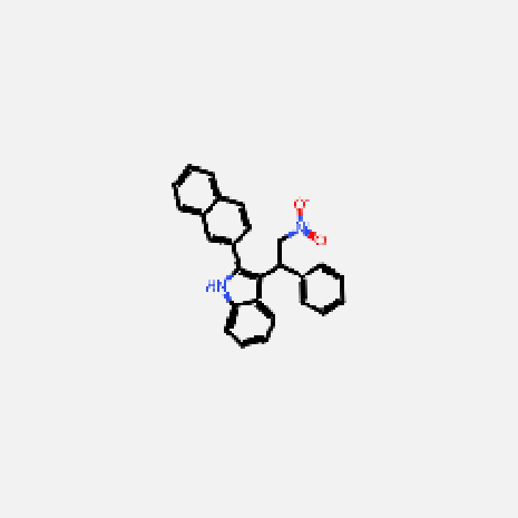 O=[N+]([O-])CC(c1ccccc1)c1c(-c2ccc3ccccc3c2)[nH]c2ccccc12